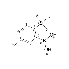 Cc1ccc([Si](C)(C)C)c(B(O)O)c1